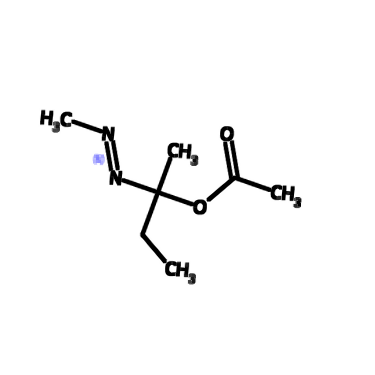 CCC(C)(/N=N/C)OC(C)=O